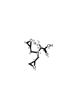 C[C@@H](C(=O)O)N(CC1CO1)CC1CO1